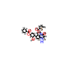 COc1cc(OC(=O)c2ccccc2)ccc1-c1ccc2c(c1COC(=O)C1CC=C(C)S1)N(C)C(=O)C(C)(C)N2